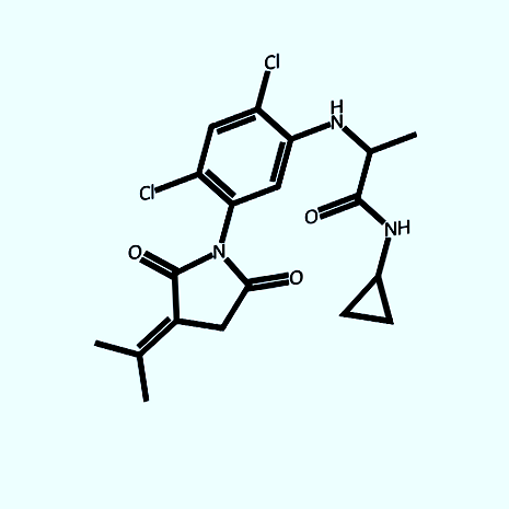 CC(C)=C1CC(=O)N(c2cc(NC(C)C(=O)NC3CC3)c(Cl)cc2Cl)C1=O